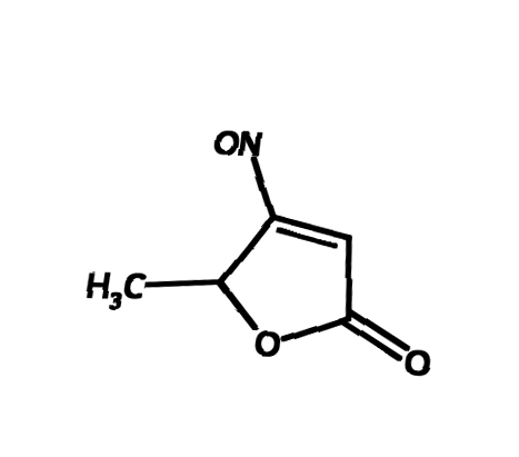 CC1OC(=O)C=C1N=O